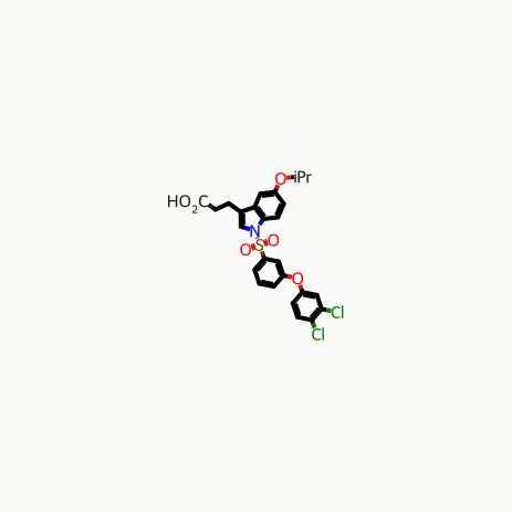 CC(C)Oc1ccc2c(c1)c(CCC(=O)O)cn2S(=O)(=O)c1cccc(Oc2ccc(Cl)c(Cl)c2)c1